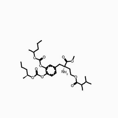 CCCC(C)OC(=O)Oc1cc(C[C@](N)(CCOC(=O)C(C)C(C)C)C(=O)OC)ccc1OC(=O)O[C@@H](C)CCC